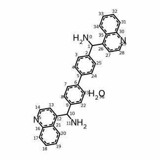 NC(c1ccc(-c2ccc(C(N)c3ccnc4ccccc34)cc2)cc1)c1ccnc2ccccc12.O